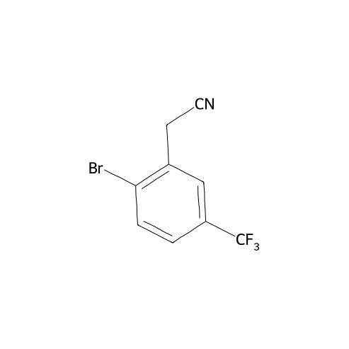 N#CCc1cc(C(F)(F)F)ccc1Br